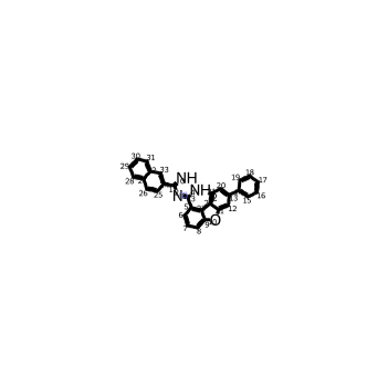 N=C(/N=C(\N)c1cccc2oc3cc(-c4ccccc4)ccc3c12)c1ccc2ccccc2c1